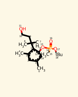 Cc1cc(C)c(C(C)(C)CCO)c(OP(C)(=O)OC(C)(C)C)c1